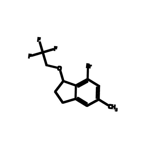 Cc1cc(Br)c2c(c1)CCC2OCC(F)(F)F